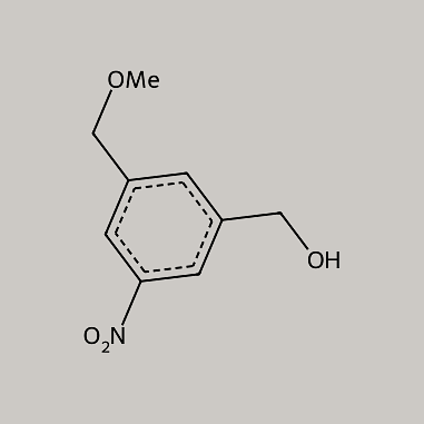 COCc1cc(CO)cc([N+](=O)[O-])c1